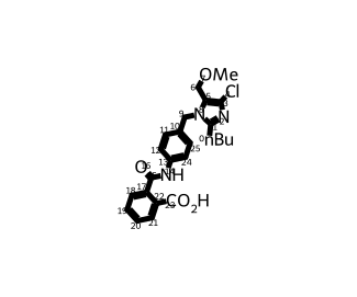 CCCCc1nc(Cl)c(COC)n1Cc1ccc(NC(=O)c2ccccc2C(=O)O)cc1